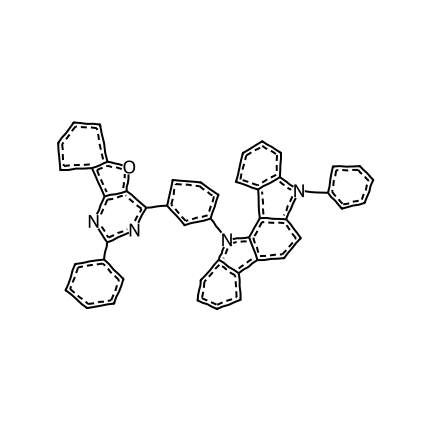 c1ccc(-c2nc(-c3cccc(-n4c5ccccc5c5ccc6c(c7ccccc7n6-c6ccccc6)c54)c3)c3oc4ccccc4c3n2)cc1